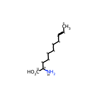 C/C=C/CCCCCCC(N)C(=O)O